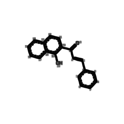 O=C(/C=C/c1ccccc1)c1ccc2ccccc2c1O